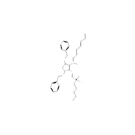 CCCCCCCN(C)C1C(OCc2ccccc2)CC(OCc2ccccc2)C1OCC(C)(O)CCCCC